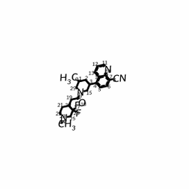 CC1CC(c2ccc(C#N)c3ncccc23)CN(C(=O)CC2CCN(C)CC2(F)F)C1